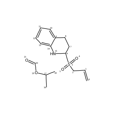 C=CCS(=O)(=O)C1CCc2ccccc2N1.CC(C)OC=O